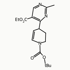 CCOC(=O)c1cnc(C)nc1C1C=CN(C(=O)OC(C)(C)C)CC1